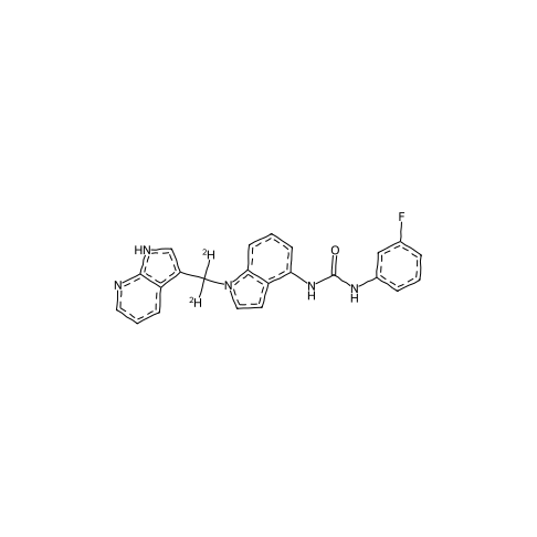 [2H]C([2H])(c1c[nH]c2ncccc12)n1ccc2c(NC(=O)Nc3cccc(F)c3)cccc21